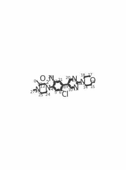 C[C@H]1CN(c2cc(Cl)c(-c3cnc(N4CCOCC4)nc3)cc2[N+](=O)[O-])CCN1C